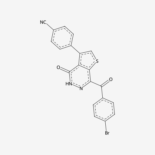 N#Cc1ccc(-c2csc3c(C(=O)c4ccc(Br)cc4)n[nH]c(=O)c23)cc1